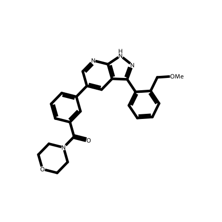 COCc1ccccc1-c1n[nH]c2ncc(-c3cccc(C(=O)N4CCOCC4)c3)cc12